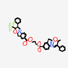 CC(=O)/C(=C\N1CCc2cc(C(=O)OCCCOC(=O)c3ccc4c(c3)CCN4/C=C(\C(=O)C(F)(F)F)c3ccccc3)ccc21)c1ccccc1